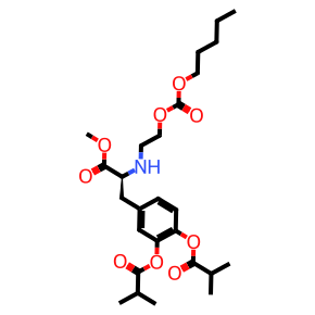 CCCCCOC(=O)OCCN[C@@H](Cc1ccc(OC(=O)C(C)C)c(OC(=O)C(C)C)c1)C(=O)OC